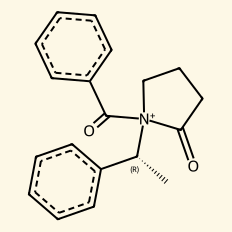 C[C@H](c1ccccc1)[N+]1(C(=O)c2ccccc2)CCCC1=O